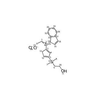 C[CH]=[Zr+2]([C]1=CC([Si](C)(C)CCO)=CC1)[CH]1C=Cc2ccccc21.[Cl-].[Cl-]